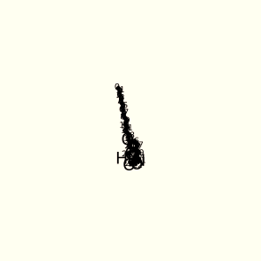 CCCCCCCCCCCCCCOc1ccc(Cc2noc(=O)[nH]2)c(OC)c1